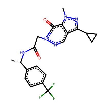 C[C@H](NC(=O)Cn1ncc2c(C3CC3)nn(C)c2c1=O)c1ccc(C(F)(F)F)cc1